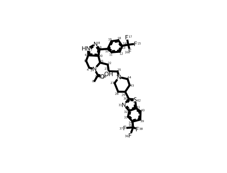 CC(=O)N1CCc2[nH]nc(-c3ccc(C(F)(F)F)cc3)c2C1CC(O)CN1CCC(c2nc3cc(C(F)(F)F)ccc3s2)CC1